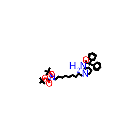 CC(C)(C)OC(=O)N(CCCCCCCCCN1CC[C@@H](C(C(N)=O)(c2ccccc2)c2ccccc2)C1)OC(C)(C)C